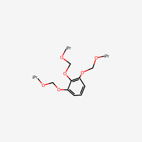 CC(C)OCOc1cccc(OCOC(C)C)c1OCOC(C)C